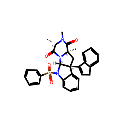 C[C@H]1C(=O)N2[C@H]3N(S(=O)(=O)c4ccccc4)c4ccccc4[C@@]3(C3=CCc4ccccc43)C[C@]2(C)C(=O)N1C